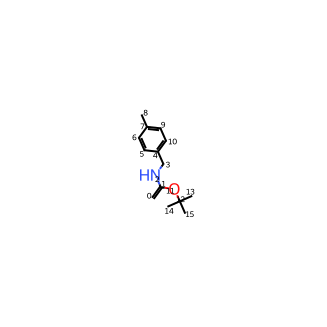 C=C(NCc1ccc(C)cc1)OC(C)(C)C